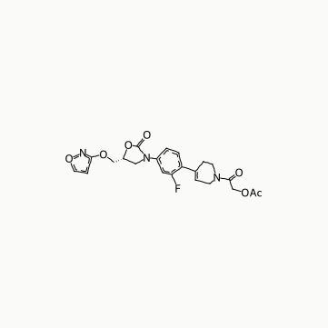 CC(=O)OCC(=O)N1CC=C(c2ccc(N3C[C@H](COc4ccon4)OC3=O)cc2F)CC1